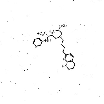 CO[C@H](C)CN(CCCCc1ccc2c(n1)NCCC2)CC[C@H](Nc1cccnc1)C(=O)O